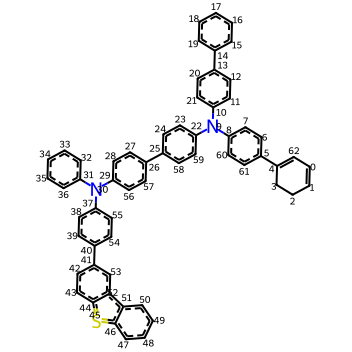 C1=CCCC(c2ccc(N(c3ccc(-c4ccccc4)cc3)c3ccc(-c4ccc(N(c5ccccc5)c5ccc(-c6ccc7sc8ccccc8c7c6)cc5)cc4)cc3)cc2)=C1